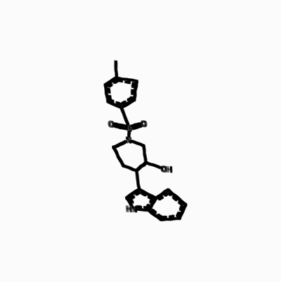 Cc1ccc(S(=O)(=O)N2CCC(c3c[nH]c4ccccc34)C(O)C2)cc1